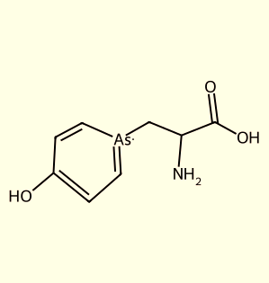 NC(C[As]1=CC=C(O)C=C1)C(=O)O